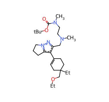 CCOCC1(CC)CC=C(c2c(CN(C)CCN(C)C(=O)OC(C)(C)C)nn3c2CCC3)CC1